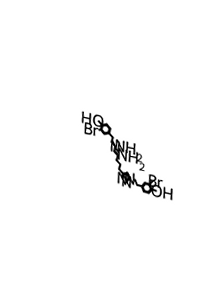 N/C(=C\N(N)CCc1ccc(O)c(Br)c1)CCCc1cn(CCc2ccc(O)c(Br)c2)nn1